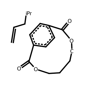 C=CCC(C)C.O=C1OCCCCOC(=O)c2ccc1cc2